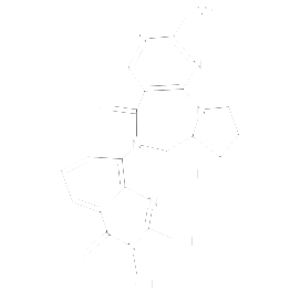 CSc1ncc2c(n1)N1CCC[C@H]1CN(c1cccc3c(=O)n(C)c(C)nc13)C2=O